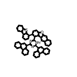 c1ccc2cc3c(cc2c1)oc1ccc(-c2cccc4c2sc2ccccc24)c(C2=NC(c4cc5ccccc5c5ccccc45)=NC(c4cc5ccccc5c5ccccc45)N2)c13